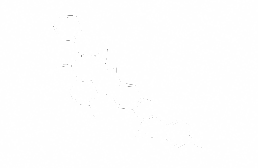 CCOC(=O)c1c(-c2ccc(F)cc2)oc2cc([N+](=O)[O-])c(-c3cc(C(=O)N(c4ccccc4)C4CC4)ccc3C)cc12